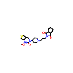 CONC(=O)N(Cc1ccsc1)C1CCN(CCCN2C(=O)c3ccccc3C2=O)CC1